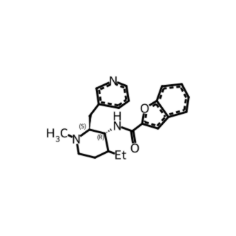 CCC1CCN(C)[C@@H](Cc2cccnc2)[C@@H]1NC(=O)c1cc2ccccc2o1